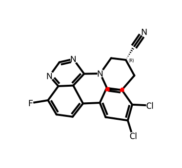 N#C[C@@H]1CCCN(c2ncnc3c(F)ccc(-c4ccc(Cl)c(Cl)c4)c23)C1